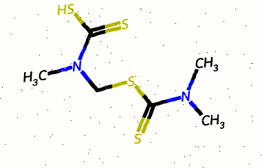 CN(C)C(=S)SCN(C)C(=S)S